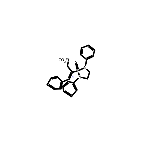 CCOC(=O)C/C(=C\c1ccccc1)P1(=S)N(c2ccccc2)CCN1c1ccccc1